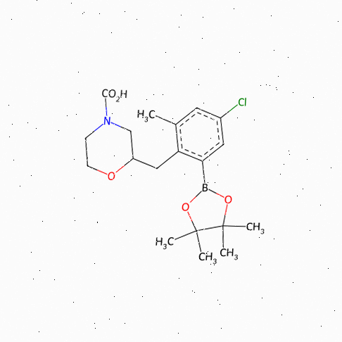 Cc1cc(Cl)cc(B2OC(C)(C)C(C)(C)O2)c1CC1CN(C(=O)O)CCO1